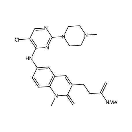 C=C(CCC1=Cc2cc(Nc3nc(N4CCN(C)CC4)ncc3Cl)ccc2N(C)C1=C)NC